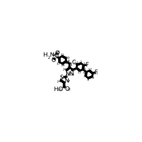 Cc1cc(F)c(-c2cccc(F)c2)cc1-c1nn(-c2nc(C(=O)O)cs2)cc1Cc1ccc(S(N)(=O)=O)cc1